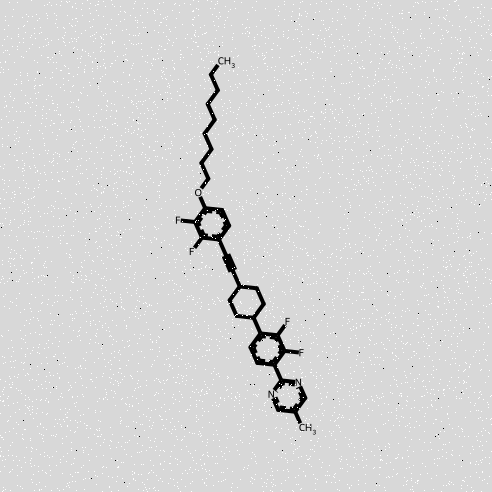 CCCCCCCCCOc1ccc(C#CC2CCC(c3ccc(-c4ncc(C)cn4)c(F)c3F)CC2)c(F)c1F